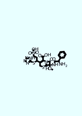 CO[C@@]1(NC(=O)C(N)c2ccccc2)C(=O)N2C(C(=O)O)=C(C(CCS(=O)(=O)O)Sc3nnn[nH]3)CS[C@H]21